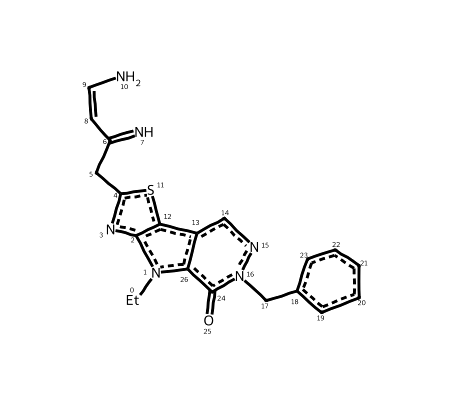 CCn1c2nc(CC(=N)/C=C\N)sc2c2cnn(Cc3ccccc3)c(=O)c21